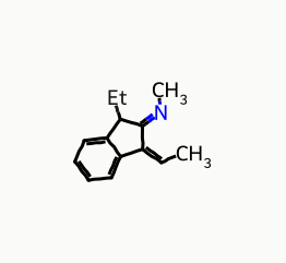 CC=C1C(=NC)C(CC)c2ccccc21